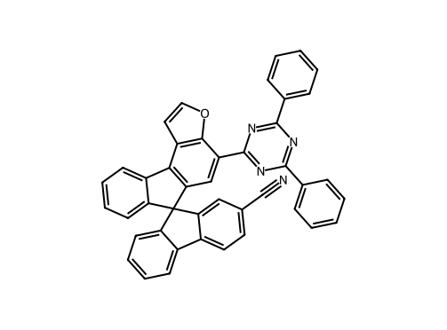 N#Cc1ccc2c(c1)C1(c3ccccc3-2)c2ccccc2-c2c1cc(-c1nc(-c3ccccc3)nc(-c3ccccc3)n1)c1occc21